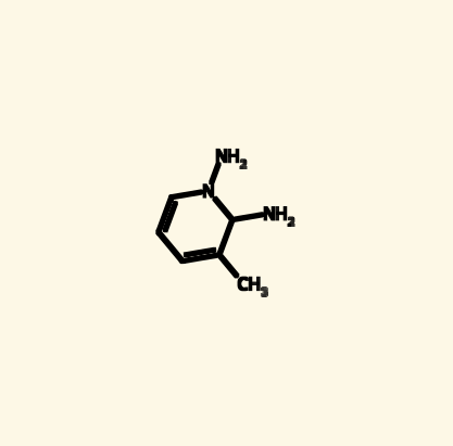 CC1=CC=CN(N)C1N